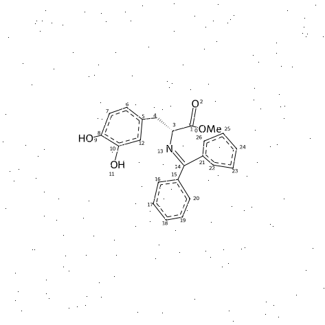 COC(=O)[C@@H](Cc1ccc(O)c(O)c1)N=C(c1ccccc1)c1ccccc1